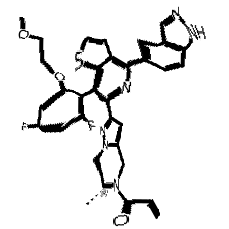 C=CC(=O)N1Cc2cc(-c3nc(-c4ccc5[nH]ncc5c4)c4ccsc4c3-c3c(F)cc(F)cc3OCCOC)nn2C[C@H]1C